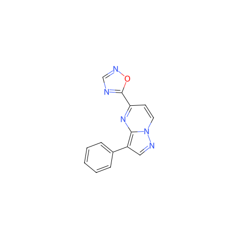 c1ccc(-c2cnn3ccc(-c4ncno4)nc23)cc1